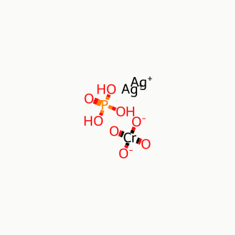 O=P(O)(O)O.[Ag+].[Ag+].[O]=[Cr](=[O])([O-])[O-]